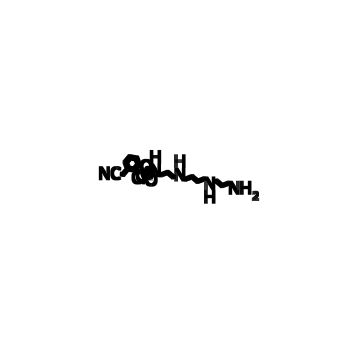 N#CCc1cccc(OS(=O)(=O)NCCCNCCCCNCCCN)c1Cl